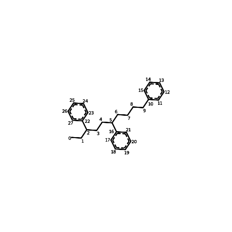 CCC(CCC(CCCCc1ccccc1)c1ccccc1)c1ccccc1